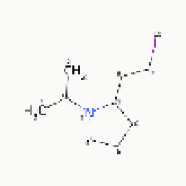 CC(C)N1CCCC1CCI